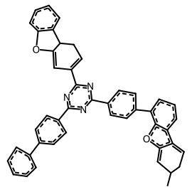 CC1C=c2oc3c(-c4ccc(-c5nc(C6=CCC7C(=C6)Oc6ccccc67)nc(-c6ccc(-c7ccccc7)cc6)n5)cc4)cccc3c2=CC1